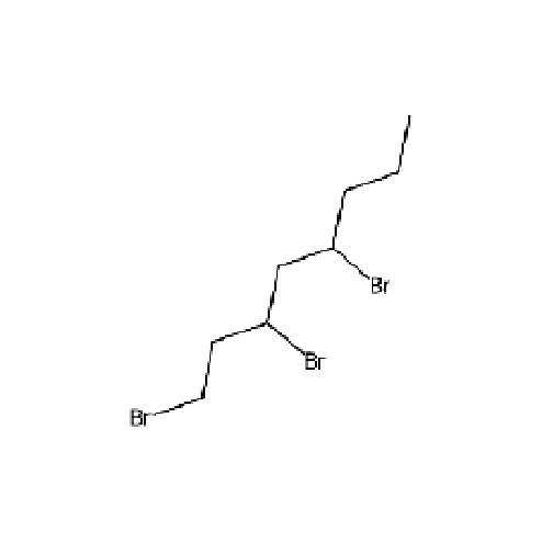 CCCC(Br)CC(Br)CCBr